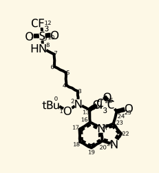 CC(C)(C)ON(CCCCCNS(=O)(=O)C(F)(F)F)C(=C=O)c1cccc2ncc(C(=O)C(Cl)(Cl)Cl)n12